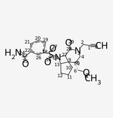 C#CCN1C[C@H](COC)C23CCCC2N(S(=O)(=O)c2cccc(C(N)=O)c2)C3C1=O